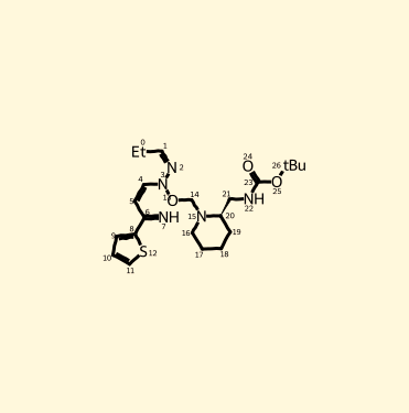 CC/C=N\N(/C=C\C(=N)c1cccs1)OCN1CCCC[C@@H]1CNC(=O)OC(C)(C)C